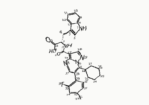 O=C(N[C@@H](Cc1c[nH]c2ccccc12)C(=O)O)c1cnn2c(C3CCCCC3)c(-c3ccc(F)cc3F)cnc12